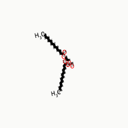 CCCCCCCCCCCCCC(=O)OCC(COC=O)OC(=O)CCCCCCCCCCCCC